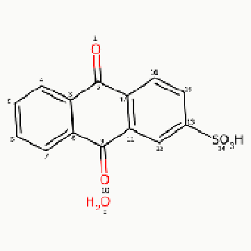 O.O=C1c2ccccc2C(=O)c2cc(S(=O)(=O)O)ccc21